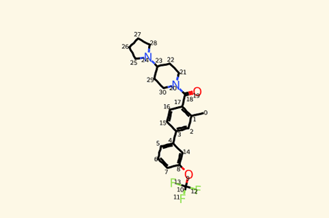 Cc1cc(-c2cccc(OC(F)(F)F)c2)ccc1C(=O)N1CCC(N2CCCC2)CC1